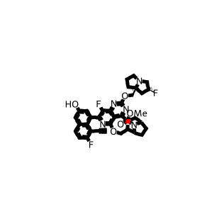 C#Cc1c(F)ccc2cc(O)cc(-c3nc4c5c(nc(OC[C@@]67CCCN6C[C@H](F)C7)nc5c3F)N3CC5CCC(C3CO4)N5C(=O)OC)c12